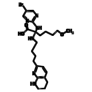 COCCCCC(NCCCCc1ccc2c(n1)NCCC2)(Nc1ncc(Br)cn1)C(=O)O